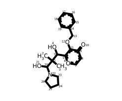 CC(C)(C(O)c1occc(=O)c1OCc1ccccc1)C(O)N1CCCC1